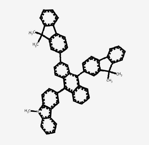 Cn1c2ccccc2c2cc(-c3c4ccccc4c(-c4ccc5c(c4)C(C)(C)c4ccccc4-5)c4cc(-c5ccc6c(c5)C(C)(C)c5ccccc5-6)ccc34)ccc21